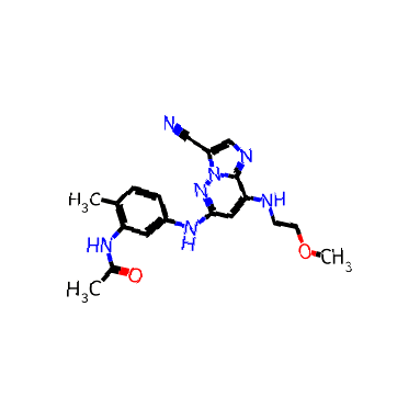 COCCNc1cc(Nc2ccc(C)c(NC(C)=O)c2)nn2c(C#N)cnc12